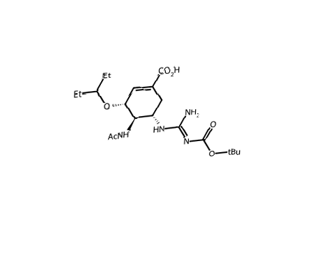 CCC(CC)O[C@@H]1C=C(C(=O)O)C[C@H](N/C(N)=N/C(=O)OC(C)(C)C)[C@H]1NC(C)=O